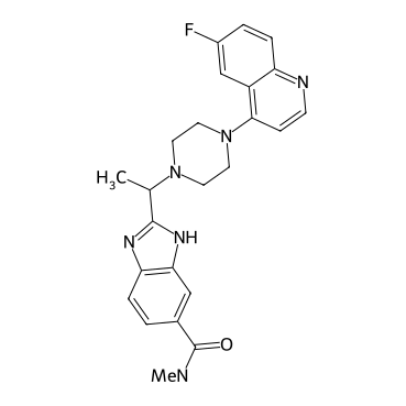 CNC(=O)c1ccc2nc(C(C)N3CCN(c4ccnc5ccc(F)cc45)CC3)[nH]c2c1